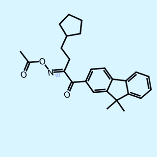 CC(=O)O/N=C(\CCC1CCCC1)C(=O)c1ccc2c(c1)C(C)(C)c1ccccc1-2